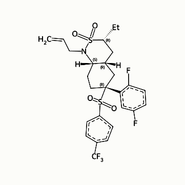 C=CCN1[C@H]2CC[C@@](c3cc(F)ccc3F)(S(=O)(=O)c3ccc(C(F)(F)F)cc3)C[C@H]2C[C@@H](CC)S1(=O)=O